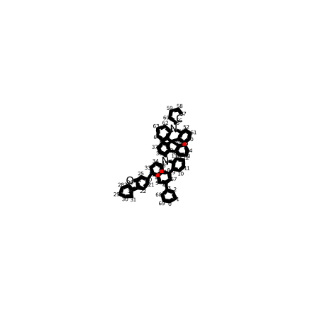 c1ccc(-c2cccc(-c3ccccc3N(c3ccc(-c4ccc5c(c4)oc4ccccc45)cc3)c3cccc4c3-c3ccccc3C43c4ccccc4N(c4ccccc4)c4ccccc43)c2)cc1